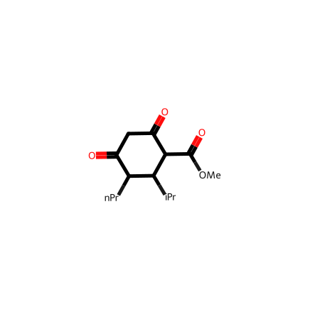 CCCC1C(=O)CC(=O)C(C(=O)OC)C1C(C)C